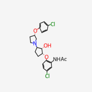 CC(=O)Nc1cc(Cl)ccc1O[C@@H]1CC[C@@H](N2CC[C@H](Oc3ccc(Cl)cc3)C2)[C@@H]1O